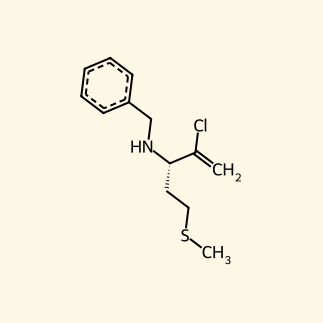 C=C(Cl)[C@H](CCSC)NCc1ccccc1